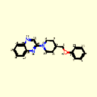 c1ccc(OCC2CCN(c3cnc4ccccc4n3)CC2)cc1